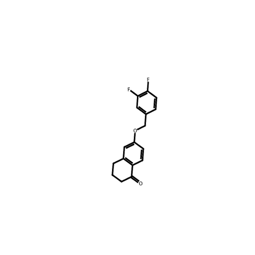 O=C1CCCc2cc(OCc3ccc(F)c(F)c3)ccc21